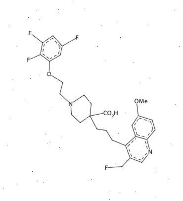 COc1ccc2ncc(CF)c(CCCC3(C(=O)O)CCN(CCOc4cc(F)cc(F)c4F)CC3)c2c1